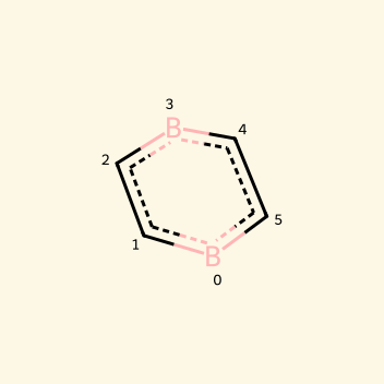 b1ccbcc1